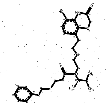 CC(C)[C@@H](C)N(CCNCCc1ccc(O)c2c1OCC(=O)N2)C(=O)CCOCCc1ccccc1